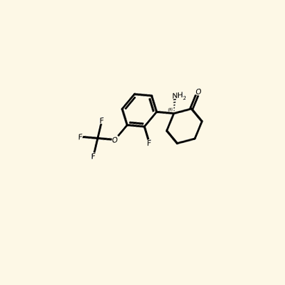 N[C@@]1(c2cccc(OC(F)(F)F)c2F)CCCCC1=O